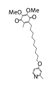 COC1=C(OC)C(=O)C(CCCCCCCCCCOc2ccnc(C)c2)=C(C)C1=O